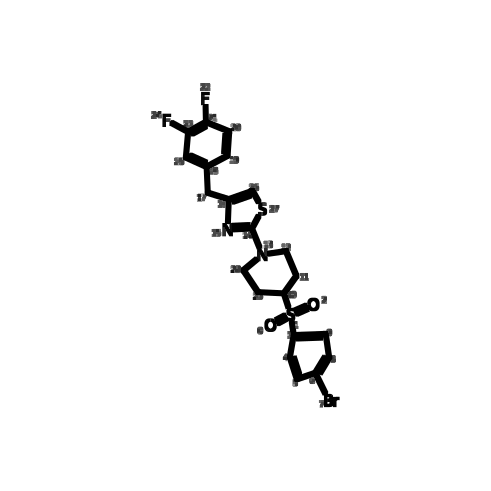 O=S(=O)(c1ccc(Br)cc1)C1CCN(c2nc(Cc3ccc(F)c(F)c3)cs2)CC1